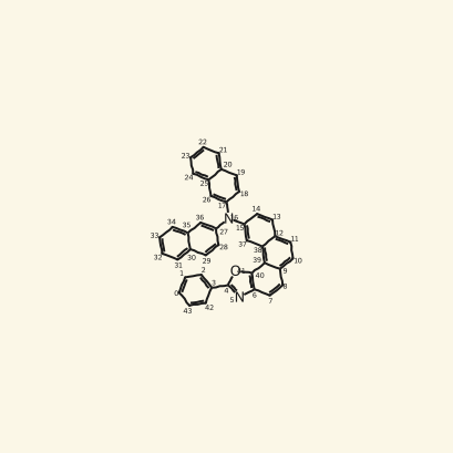 c1ccc(-c2nc3ccc4ccc5ccc(N(c6ccc7ccccc7c6)c6ccc7ccccc7c6)cc5c4c3o2)cc1